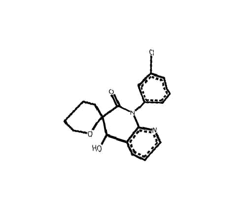 O=C1N(c2cccc(Cl)c2)c2ncccc2C(O)C12CCCCO2